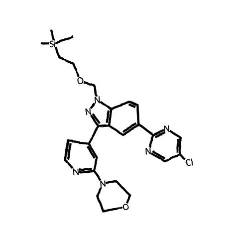 C[Si](C)(C)CCOCn1nc(-c2ccnc(N3CCOCC3)c2)c2cc(-c3ncc(Cl)cn3)ccc21